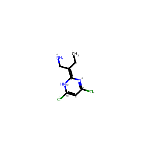 CC/C(CN)=C1\N=C(Cl)C=C(Cl)N1